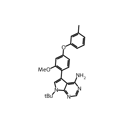 COc1cc(Oc2cccc(C)c2)ccc1-c1cn(C(C)(C)C)c2ncnc(N)c12